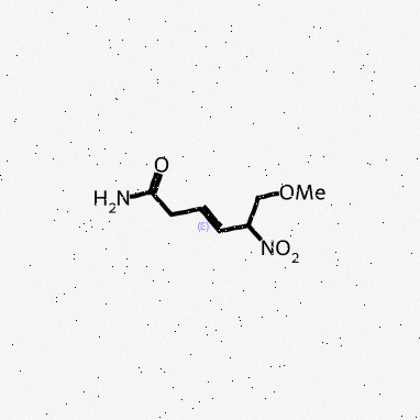 COCC(/C=C/CC(N)=O)[N+](=O)[O-]